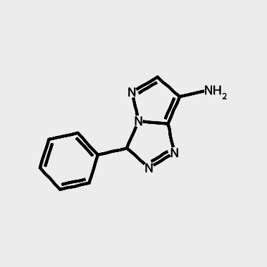 Nc1cnn2c1N=NC2c1ccccc1